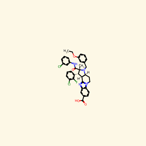 CCOc1cccc(CN2[C@H]3CCn4c(nc5cc(C(=O)O)ccc54)[C@H]3[C@H](c3cccc(Cl)c3F)[C@]2(C)C(=O)Nc2cccc(Cl)c2)c1